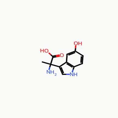 CC(N)(C(=O)O)c1c[nH]c2ccc(O)cc12